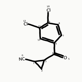 N#CC1C[C]1C(=O)c1ccc(Cl)c(Cl)c1